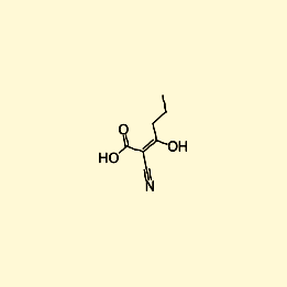 CCCC(O)=C(C#N)C(=O)O